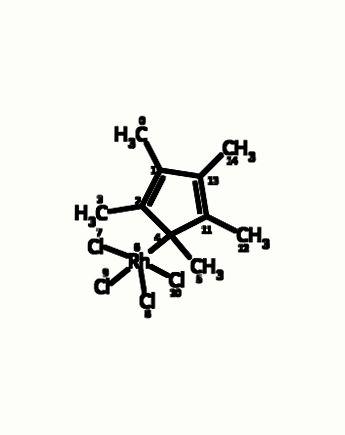 CC1=C(C)[C](C)([Rh]([Cl])([Cl])([Cl])[Cl])C(C)=C1C